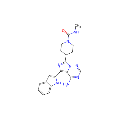 CNC(=O)N1CCC(c2nc(-c3cc4ccccc4[nH]3)c3c(N)ncnn23)CC1